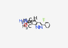 CC1(C)[C@@H]2C[C@@H](C(N)=O)C1(C)c1nnc(-c3ccccc3F)cc12